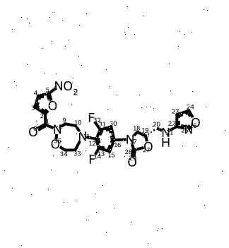 O=C(c1ccc([N+](=O)[O-])o1)N1CCN(c2c(F)cc(N3C[C@H](CNc4ccon4)OC3=O)cc2F)CCO1